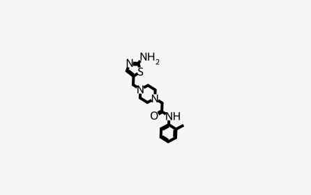 Cc1ccccc1NC(=O)CN1CCN(Cc2cnc(N)s2)CC1